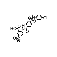 CN(c1ccc(Cl)cc1)S(=O)(=O)c1ccc(C(=O)Nc2ccc([N+](=O)[O-])cc2C(=O)O)cc1